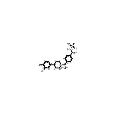 C[C@@H](NS(C)(=O)=O)c1ccc(CN2CCC(c3ccc(Cl)c(F)c3)CC2)cc1.Cl